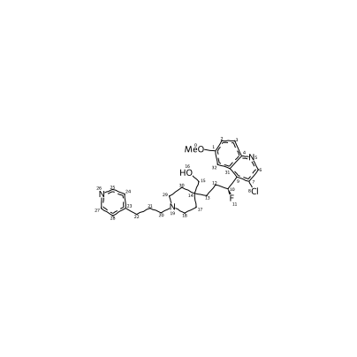 COc1ccc2ncc(Cl)c([C@@H](F)CCC3(CO)CCN(CCCc4ccncc4)CC3)c2c1